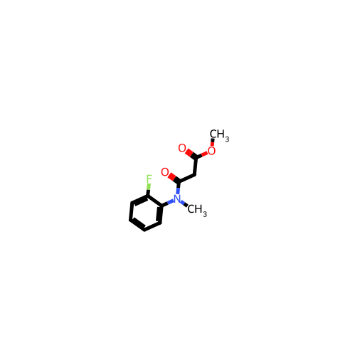 COC(=O)CC(=O)N(C)c1ccccc1F